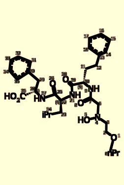 CCCOCCN(O)CC(=O)N[C@@H](CCc1ccccc1)C(=O)N[C@@H](CC(C)C)C(=O)N[C@@H](Cc1ccccc1)C(=O)O